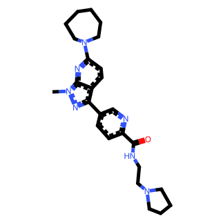 Cn1nc(-c2ccc(C(=O)NCCN3CCCC3)nc2)c2ccc(N3CCCCCC3)nc21